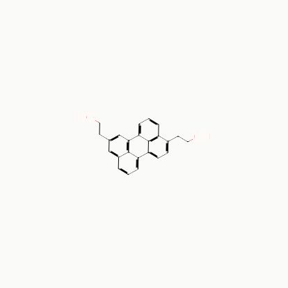 OCCc1cc2cccc3c4ccc(CCO)c5cccc(c(c1)c23)c54